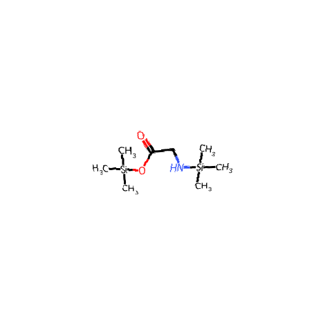 C[Si](C)(C)NCC(=O)O[Si](C)(C)C